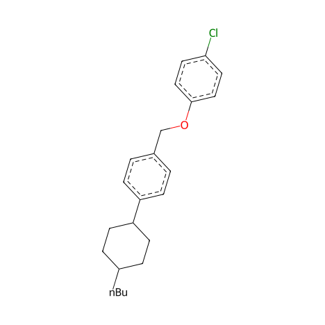 CCCCC1CCC(c2ccc(COc3ccc(Cl)cc3)cc2)CC1